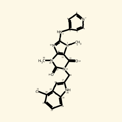 Cn1c(Nc2ccncc2)nc2c1c(=O)n(Cc1cc3c(Cl)cccc3[nH]1)c(=O)n2C